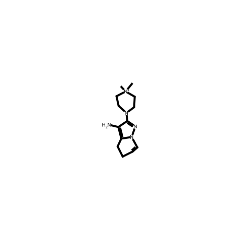 C[N+]1(C)CCN(c2nn3c(c2N)CCC=C3)CC1